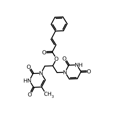 Cc1cn(CC(Cn2ccc(=O)[nH]c2=O)OC(=O)/C=C/c2ccccc2)c(=O)[nH]c1=O